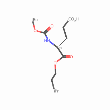 CC(C)CCOC(=O)[C@@H](CCC(=O)O)NC(=O)OC(C)(C)C